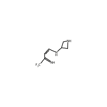 N=C(/C=C\NC1CNC1)C(F)(F)F